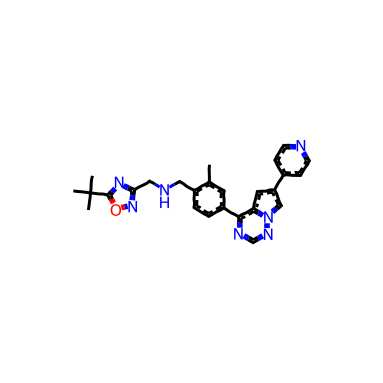 Cc1cc(-c2ncnn3cc(-c4ccncc4)cc23)ccc1CNCc1noc(C(C)(C)C)n1